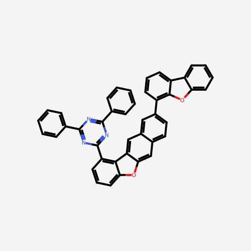 c1ccc(-c2nc(-c3ccccc3)nc(-c3cccc4oc5cc6ccc(-c7cccc8c7oc7ccccc78)cc6cc5c34)n2)cc1